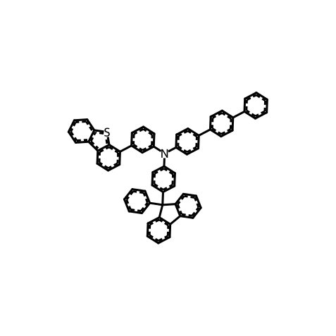 c1ccc(-c2ccc(-c3ccc(N(c4ccc(C5(c6ccccc6)c6ccccc6-c6ccccc65)cc4)c4cccc(-c5cccc6c5sc5ccccc56)c4)cc3)cc2)cc1